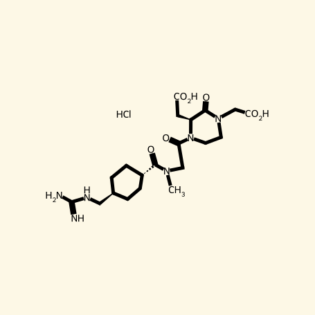 CN(CC(=O)N1CCN(CC(=O)O)C(=O)[C@@H]1CC(=O)O)C(=O)[C@H]1CC[C@H](CNC(=N)N)CC1.Cl